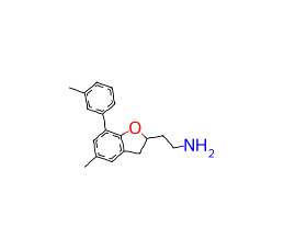 Cc1cccc(-c2cc(C)cc3c2OC(CCN)C3)c1